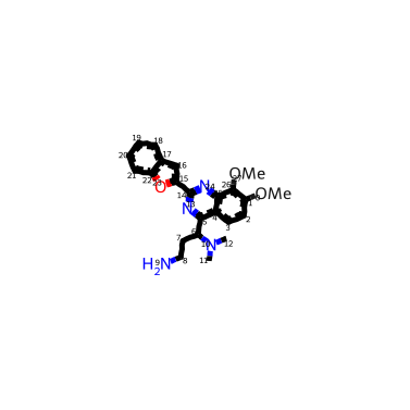 COc1ccc2c(C(CCN)N(C)C)nc(-c3cc4ccccc4o3)nc2c1OC